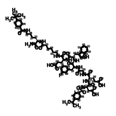 CC(C)c1ccc(S(=O)(=O)N[C@H](CC(=O)O)C(=O)N[C@@H](CCC(=O)O)C(=O)NCC(=O)N[C@@H](Cc2cccc(F)c2)C(=O)N[C@@H](Cc2c[nH]c3ccccc23)C(=O)N[C@@H](CCC(=O)O)C(=O)NCCCCCC(=O)N[C@@H](CCCCNC(=O)c2ccc(C(C)(C)C)cc2)C(N)=O)cc1